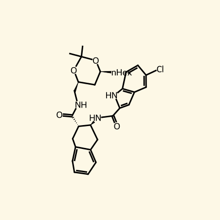 CCCCCC[C@H]1C[C@@H](CNC(=O)[C@H]2Cc3ccccc3C[C@@H]2NC(=O)c2cc3cc(Cl)ccc3[nH]2)OC(C)(C)O1